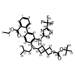 CCOC(=O)c1ccccc1-c1ccc(N(CC(C)C)C2CC3(C2)CN(C(=O)OC(C)(C)C)C3)c(Nc2nc(C(F)(F)F)ns2)c1